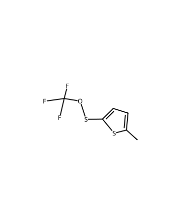 Cc1ccc(SOC(F)(F)F)s1